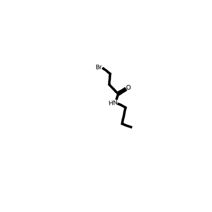 CCCNC(=O)CCBr